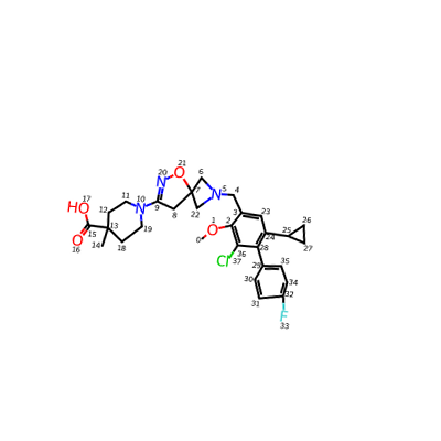 COc1c(CN2CC3(CC(N4CCC(C)(C(=O)O)CC4)=NO3)C2)cc(C2CC2)c(-c2ccc(F)cc2)c1Cl